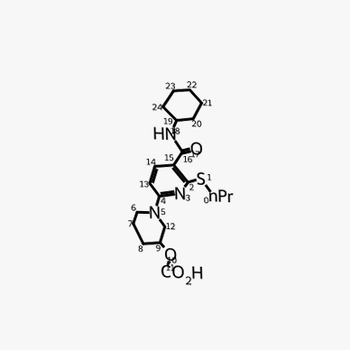 CCCSc1nc(N2CCCC(OC(=O)O)C2)ccc1C(=O)NC1CCCCC1